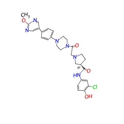 COc1ncc(-c2ccc(N3CCN(C(=O)CN4CC[C@@H](C(=O)Nc5ccc(O)c(Cl)c5)C4)CC3)cc2)cn1